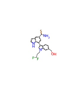 NC(=S)c1cc(-c2cn(CCC(F)F)c3cc(CO)ccc23)c2[nH]ccc2c1